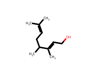 CC(C)=CCC(C)C(C)=CCO